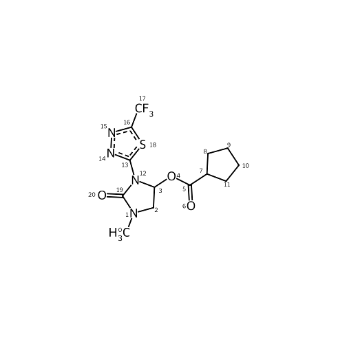 CN1CC(OC(=O)C2CCCC2)N(c2nnc(C(F)(F)F)s2)C1=O